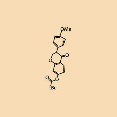 COc1ccc(C2COc3cc(OC(=O)C(C)(C)C)ccc3C2=O)cc1